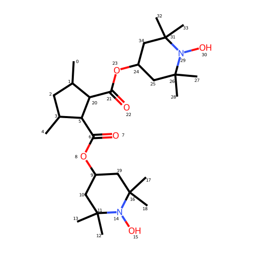 CC1CC(C)C(C(=O)OC2CC(C)(C)N(O)C(C)(C)C2)C1C(=O)OC1CC(C)(C)N(O)C(C)(C)C1